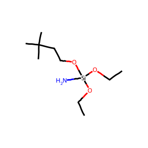 CCO[Si](N)(OCC)OCCC(C)(C)C